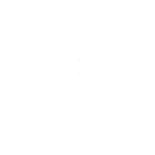 CC(=O)N1c2c(cccc2NS(=O)(=O)c2ccc(C)cc2)CC1C